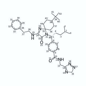 CC(C)CC[C@H](c1ccc(C(=O)NCC2=NCN=N2)cc1)N1C(=O)C(NCCc2ccccc2)=NC12CCC(C(C)(C)C)CC2